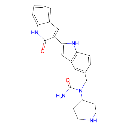 NC(=O)N(Cc1ccc2[nH]c(-c3cc4ccccc4[nH]c3=O)cc2c1)C1CCNCC1